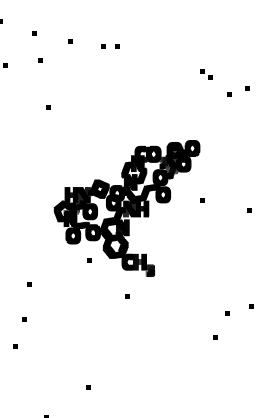 CCOC(=O)N1CCN(C(=O)C(CCC(=O)OC[C@H]2COC(=O)O2)NC(=O)c2cc(OCC(=O)N3CCC[C@H]3C(=O)NC3CCC3)c3ccc(C)cc3n2)CC1